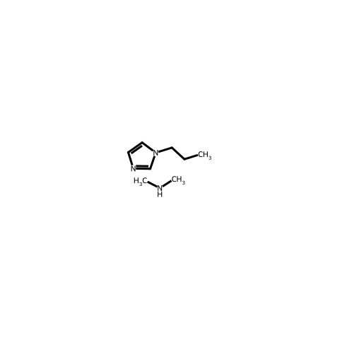 CCCn1ccnc1.CNC